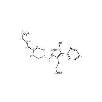 COCCc1c(-c2ccccc2)c(Br)nn1C[C@H]1CC[C@H](COCC(=O)O)CC1